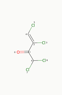 O=C(C(Cl)=CCl)C(Cl)Cl